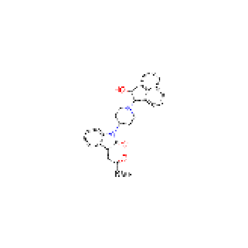 CNC(=O)CC1C(=O)N(C2CCN(C3c4cccc5cccc(c45)C3O)CC2)c2ccccc21